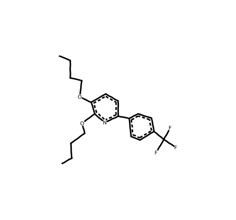 CCCCOc1ccc(-c2ccc(C(F)(F)F)cc2)nc1OCCCC